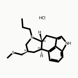 CCCN1C[C@H](CSC)C[C@@H]2c3cccc4[nH]cc(c34)C[C@H]21.Cl